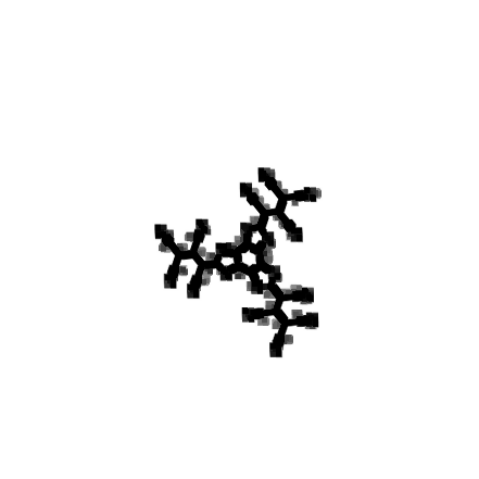 N#CC(C#N)=C(C#N)C(C#N)=C1N=c2c3c(c4c(c2=N1)=NC(=C(C#N)C(C#N)=C(C#N)C#N)N=4)=NC(=C(C#N)C(C#N)=C(C#N)C#N)N=3